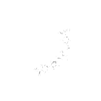 CC(CC=Nc1ccc(C(=O)O)cc1)C(=O)C=Cc1ccc(-c2ccc(C(=O)O)cc2)o1